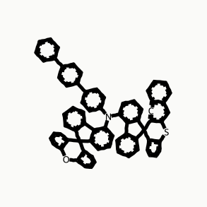 c1ccc(-c2ccc(-c3ccc(N(c4cccc5c4-c4ccccc4C54c5ccccc5Oc5ccccc54)c4cccc5c4-c4ccccc4C54c5ccccc5Sc5cc6ccccc6cc54)cc3)cc2)cc1